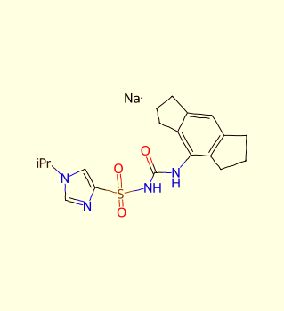 CC(C)n1cnc(S(=O)(=O)NC(=O)Nc2c3c(cc4c2CCC4)CCC3)c1.[Na]